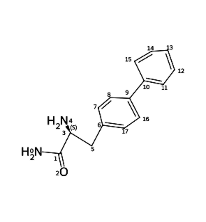 NC(=O)[C@@H](N)Cc1ccc(-c2ccccc2)cc1